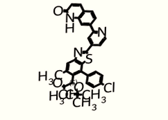 Cc1cc2nc(-c3ccnc(-c4ccc5ccc(=O)[nH]c5c4)c3)sc2c(-c2ccc(Cl)cc2)c1[C@H](OC(C)(C)C)C(=O)O